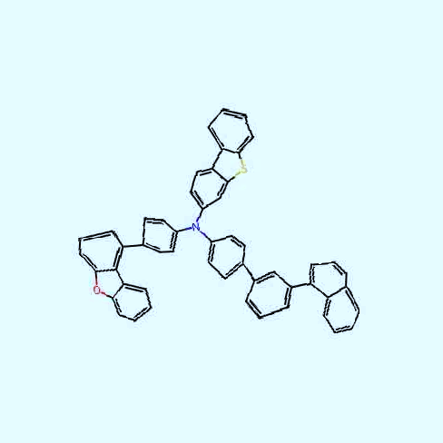 c1cc(-c2ccc(N(c3ccc(-c4cccc5oc6ccccc6c45)cc3)c3ccc4c(c3)sc3ccccc34)cc2)cc(-c2cccc3ccccc23)c1